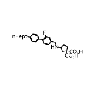 CCCCCCCc1ccc(-c2ccc(CNC3CCC(C(=O)O)(C(=O)O)C3)cc2F)cc1